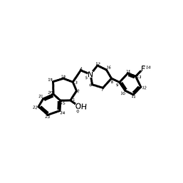 OC1CC(CN2CCC(c3cccc(F)c3)CC2)CCc2ccccc21